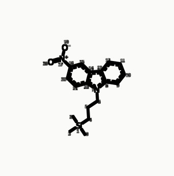 C[Si](C)(C)CCCn1c2ccccc2c2cc([N+](=O)[O-])ccc21